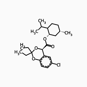 CCC1(CC)Oc2ccc(Cl)cc2[C@H](C(=O)O[C@H]2C[C@@H](C)CCC2C(C)C)O1